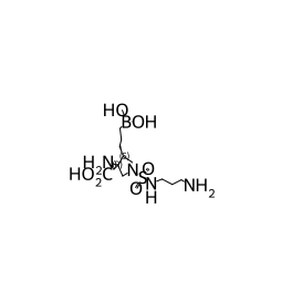 NCCCNS(=O)(=O)N1C[C@H](CCCB(O)O)[C@](N)(C(=O)O)C1